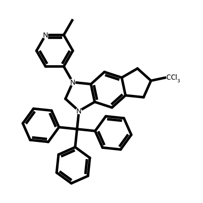 Cc1cc(N2CN(C(c3ccccc3)(c3ccccc3)c3ccccc3)c3cc4c(cc32)CC(C(Cl)(Cl)Cl)C4)ccn1